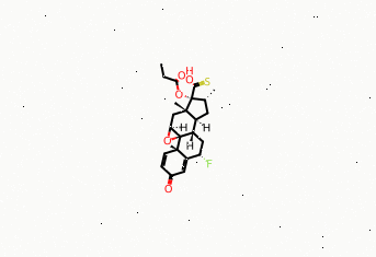 CCC(=O)O[C@]1(C(O)=S)[C@H](C)C[C@H]2[C@@H]3C[C@H](F)C4=CC(=O)C=C[C@]4(C)[C@@]34O[C@H]4C[C@@]21C